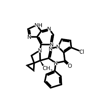 C[C@]1(c2nn3ccc(Cl)c3c(=O)n2-c2ccccc2)N(c2ncnc3[nH]cnc23)CC12CC2